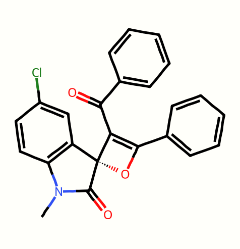 CN1C(=O)[C@@]2(OC(c3ccccc3)=C2C(=O)c2ccccc2)c2cc(Cl)ccc21